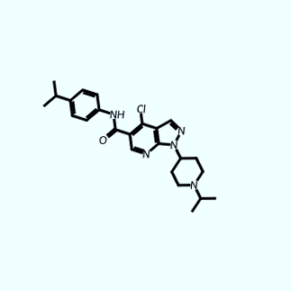 CC(C)c1ccc(NC(=O)c2cnc3c(cnn3C3CCN(C(C)C)CC3)c2Cl)cc1